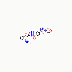 NCc1ccccc1CC[C@H](O)CNC(=O)c1ccc(-c2nnc(N3CCOCC3)o2)cc1